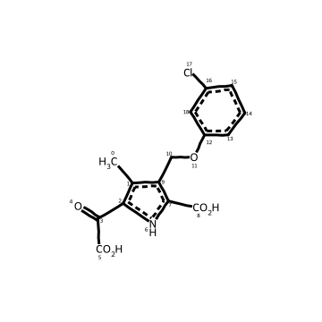 Cc1c(C(=O)C(=O)O)[nH]c(C(=O)O)c1COc1cccc(Cl)c1